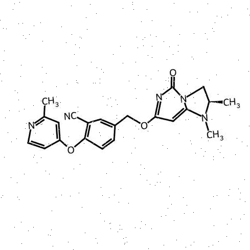 Cc1cc(Oc2ccc(COc3cc4n(c(=O)n3)C[C@@H](C)N4C)cc2C#N)ccn1